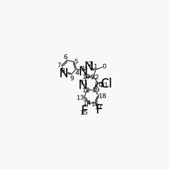 Cc1nn(-c2cccnc2)c2nc3cc(F)c(F)cc3c(Cl)c12